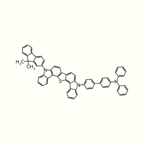 CC1(C)c2ccccc2-c2ccc(-n3c4ccccc4c4c5sc6c(ccc7c6c6ccccc6n7-c6ccc(-c7ccc(N(c8ccccc8)c8ccccc8)cc7)cc6)c5ccc43)cc21